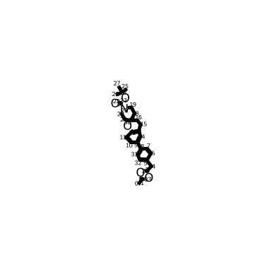 CC1OC(Cc2ccc(-c3ccc4c(c3)CCC3(CCN(C(=O)OC(C)(C)C)CC3)O4)cc2)O1